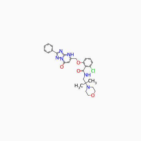 CC(C)(CNC(=O)c1c(Cl)cccc1OCc1cc(=O)n2nc(-c3ccccc3)nc2[nH]1)N1CCOCC1